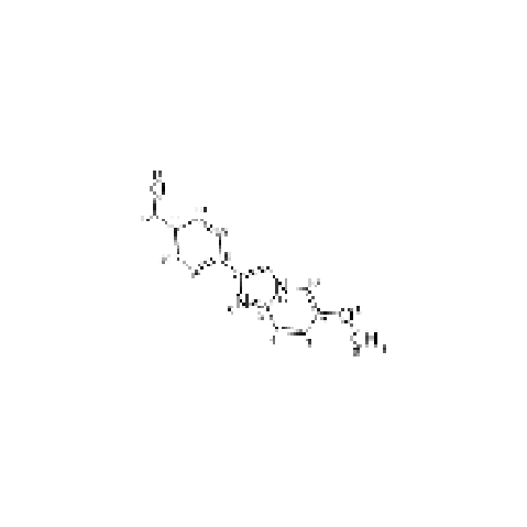 COc1ccc2nc(-c3ccc(C=O)cc3)cn2c1